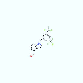 O=Cc1cccc2c1ccn2Cc1cc(C(F)(F)F)cc(C(F)(F)F)c1